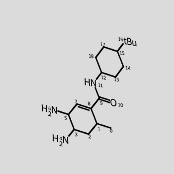 CC1CC(N)C(N)C=C1C(=O)NC1CCC(C(C)(C)C)CC1